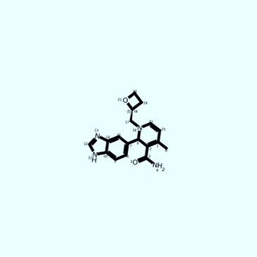 CC1=C(C(N)=O)C(c2ccc3[nH]cnc3c2)N(C[C@@H]2CCO2)C=C1